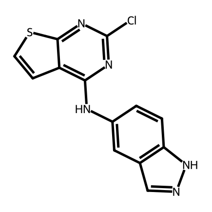 Clc1nc(Nc2ccc3[nH]ncc3c2)c2ccsc2n1